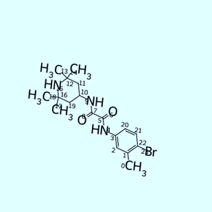 Cc1cc(NC(=O)C(=O)NC2CC(C)(C)NC(C)(C)C2)ccc1Br